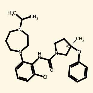 CC(C)N1CCCN(c2cccc(Cl)c2NC(=O)N2CC[C@@](C)(Oc3ccccc3)C2)CC1